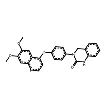 COc1cc2nccc(Oc3ccc(N4Cc5ccccc5NC4=O)cc3)c2cc1OC